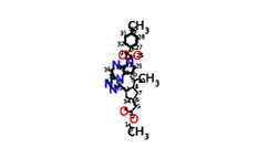 CCOC(=O)C=C1CC(CC)C(c2nnc3cnc4c(ccn4S(=O)(=O)c4ccc(C)cc4)n23)C1